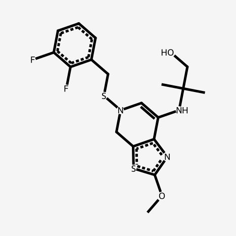 COc1nc2c(s1)CN(SCc1cccc(F)c1F)C=C2NC(C)(C)CO